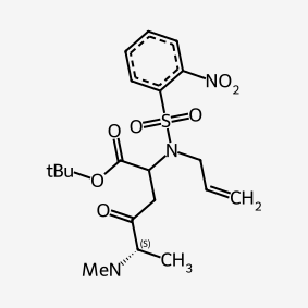 C=CCN(C(CC(=O)[C@H](C)NC)C(=O)OC(C)(C)C)S(=O)(=O)c1ccccc1[N+](=O)[O-]